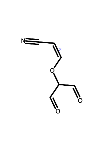 N#C/C=C\OC(C=O)C=O